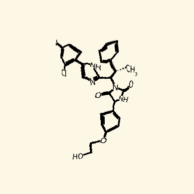 C[C@@H](c1ccccc1)C(c1ncc(-c2ccc(I)cc2Cl)[nH]1)N1C(=O)NC(c2ccc(OCCO)cc2)C1=O